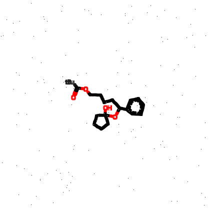 CC(C)(C)C(=O)OCCCCC(OC1(O)CCCC1)c1ccccc1